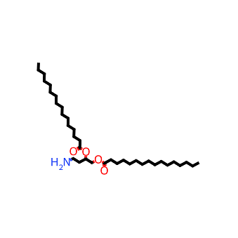 CCCCCCCCCCCCCCCC(=O)OCC(CCN)OC(=O)CCCCCCCCCCCCCCC